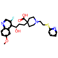 COc1ccc2ncc(F)c([C@@H](O)CCC3(C(=O)O)CCN(CCSc4ccccn4)CC3)c2c1